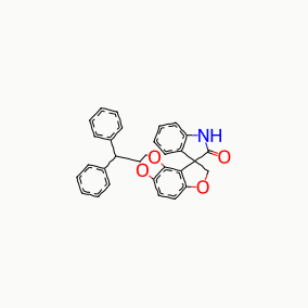 O=C1Nc2ccccc2C12COc1ccc3c(c12)OCC(C(c1ccccc1)c1ccccc1)O3